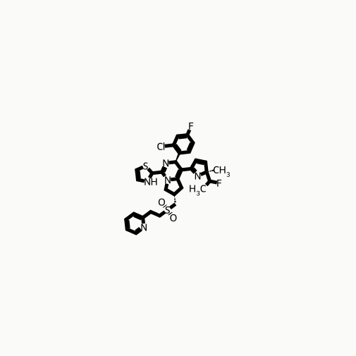 CC(F)[C@]1(C)C=CC(C2=C3C[C@H](CS(=O)(=O)CCc4ccccn4)CN3C(C3NC=CS3)=N[C@H]2c2ccc(F)cc2Cl)=N1